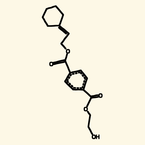 O=C(OCC=C1CCCCC1)c1ccc(C(=O)OCCO)cc1